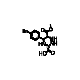 COC(=O)C1NNN(C(=O)O)NC1c1ccc(Br)cc1